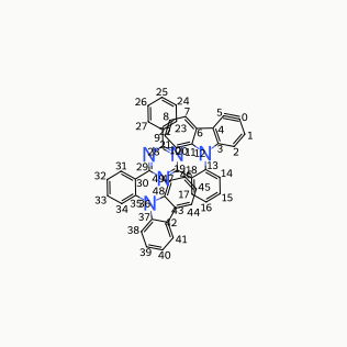 c1ccc2c(c#1)c1ccccc1n2-c1ccccc1-c1nc(-c2ccccc2)nc(-c2ccccc2-n2c3ccccc3c3ccccc32)n1